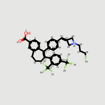 O=C(O)c1ccc2c(c1)CCCC(c1ccc(C(F)(F)F)cc1C(F)(F)F)=C2c1ccc(C=C2CN(CCCF)C2)cc1